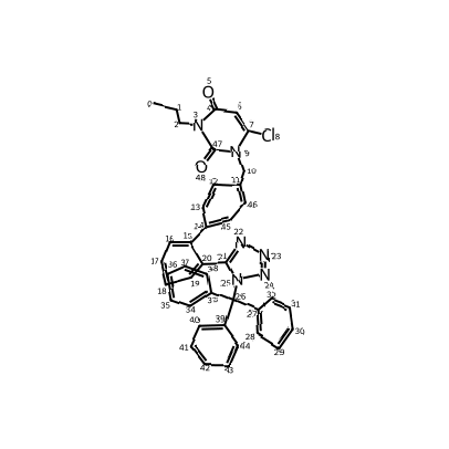 CCCn1c(=O)cc(Cl)n(Cc2ccc(-c3ccccc3-c3nnnn3C(c3ccccc3)(c3ccccc3)c3ccccc3)cc2)c1=O